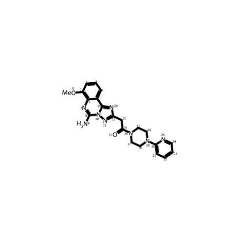 COc1cccc2c1nc(N)n1nc(CC(=O)N3CCN(c4ccccn4)CC3)nc21